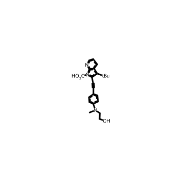 CN(CCO)c1ccc(C#Cc2c(C(C)(C)C)c3cccnc3n2C(=O)O)cc1